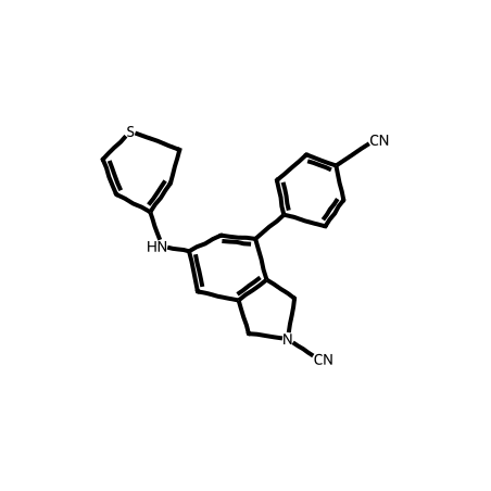 N#Cc1ccc(-c2cc(NC3=CCSC=C3)cc3c2CN(C#N)C3)cc1